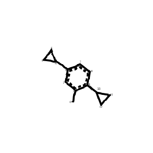 Cc1cc(C2CC2)ccc1C1CC1